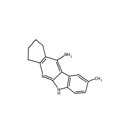 Cc1ccc2[nH]c3nc4c(c(N)c3c2c1)CCCC4